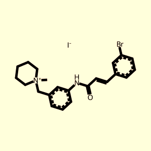 C[N+]1(Cc2cccc(NC(=O)C=Cc3cccc(Br)c3)c2)CCCCC1.[I-]